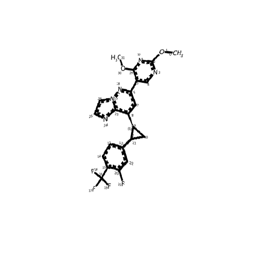 COc1ncc(-c2cc([C@H]3CC3c3ccc(C(F)(F)F)c(F)c3)c3nccn3n2)c(OC)n1